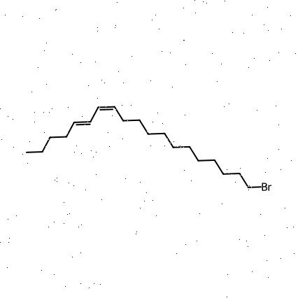 CCCC/C=C/C=C\CCCCCCCCCCCBr